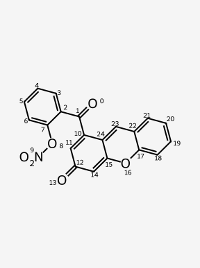 O=C(c1ccccc1O[N+](=O)[O-])c1cc(=O)cc2oc3ccccc3cc1-2